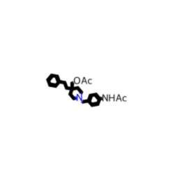 CC(=O)Nc1ccc(CN2CCC(CCc3ccccc3)(COC(C)=O)CC2)cc1